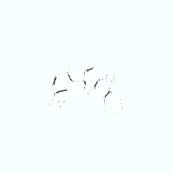 COc1ccc(F)c(-c2ccc3[nH]c4c(c3n2)CCCC4)c1